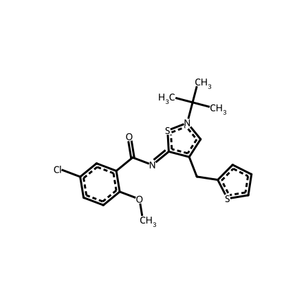 COc1ccc(Cl)cc1C(=O)N=c1sn(C(C)(C)C)cc1Cc1cccs1